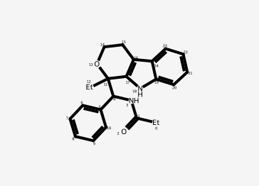 CCC(=O)NC(c1ccccc1)C1(CC)OCCc2c1[nH]c1ccccc21